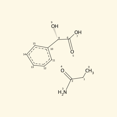 CCC(N)=O.O=C(O)[C@@H](O)c1ccccc1